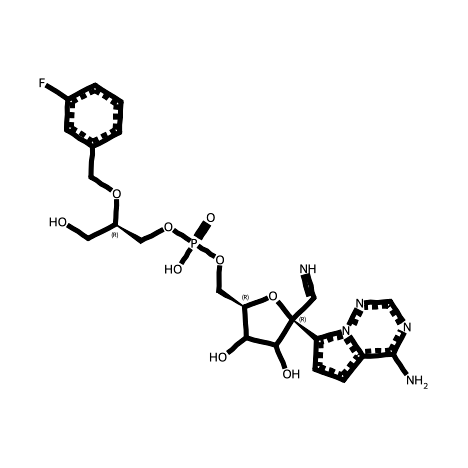 N=C[C@@]1(c2ccc3c(N)ncnn23)O[C@H](COP(=O)(O)OC[C@@H](CO)OCc2cccc(F)c2)C(O)C1O